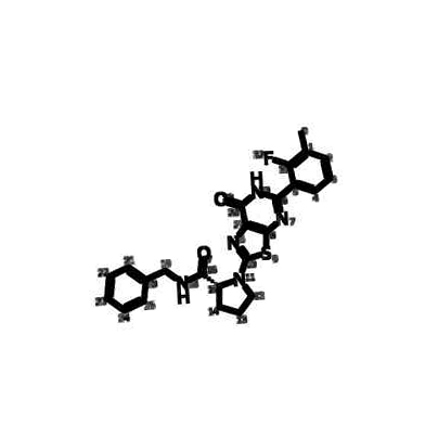 Cc1cccc(-c2nc3sc(N4CCC[C@@H]4C(=O)NCc4ccccc4)nc3c(=O)[nH]2)c1F